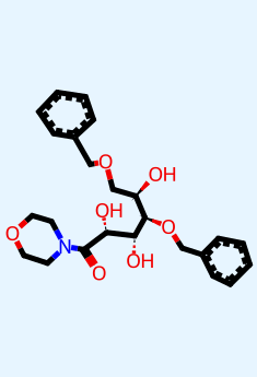 O=C([C@H](O)[C@@H](O)[C@H](OCc1ccccc1)[C@H](O)COCc1ccccc1)N1CCOCC1